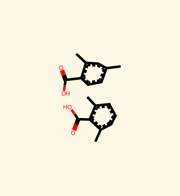 Cc1ccc(C(=O)O)c(C)c1.Cc1cccc(C)c1C(=O)O